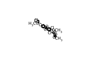 CCS(=O)(=O)C[C@@H](COc1c(Cl)cc(S(=O)(=O)c2ccc(OC[C@@H](CCl)OC(C)=O)cc2)cc1Cl)OC(C)=O